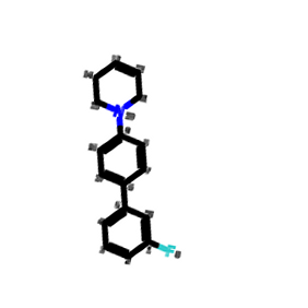 Fc1cccc(-c2ccc(N3CC=CCC3)cc2)c1